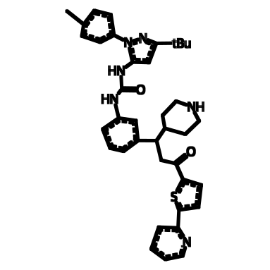 Cc1ccc(-n2nc(C(C)(C)C)cc2NC(=O)Nc2cccc(C(CC(=O)c3ccc(-c4ccccn4)s3)C3CCNCC3)c2)cc1